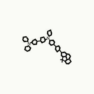 CC1(C)c2cccc3ccc4cc(-c5ccc(-c6ccc(N(c7ccccc7)c7ccc(-c8ccc(N(c9ccccc9)c9ccccc9)cc8)cc7)cc6)cc5)cc1c4c23